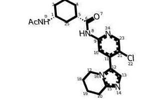 CC(=O)N[C@@H]1CCC[C@H](C(=O)Nc2cc(-c3cnc4n3CCCC4)c(Cl)cn2)C1